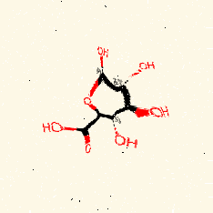 O=C(O)C1O[C@@H](O)[C@H](O)C(O)[C@@H]1O